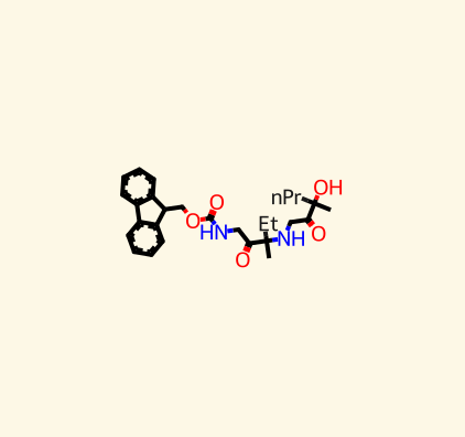 CCCC(C)(O)C(=O)CNC(C)(CC)C(=O)CNC(=O)OCC1c2ccccc2-c2ccccc21